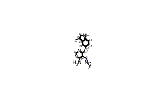 CO/N=C/c1c(N)ncnc1Oc1ccc2[nH]cc(C)c2c1